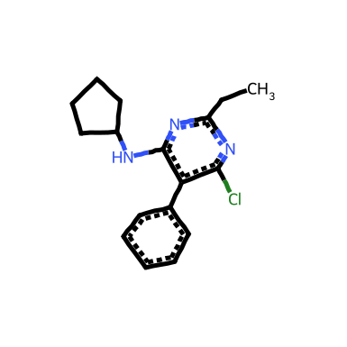 CCc1nc(Cl)c(-c2ccccc2)c(NC2CCCC2)n1